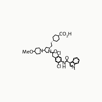 COC1CCN([C@H]2C[C@@H](CC[C@H]3CC[C@H](C(=O)O)CC3)N(C(=O)Cc3cc(Cl)c(NC(=O)c4cn(C)c5ccccc45)cc3Cl)C2)CC1